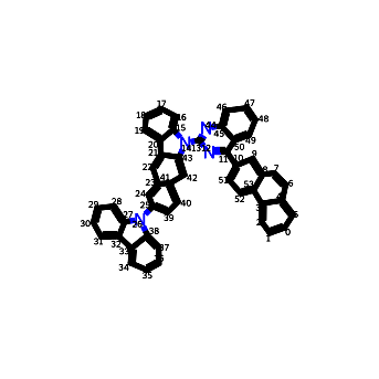 c1ccc2c(c1)ccc1cc(-c3nc(-n4c5ccccc5c5cc6cc(-n7c8ccccc8c8ccccc87)ccc6cc54)nc4ccccc34)ccc12